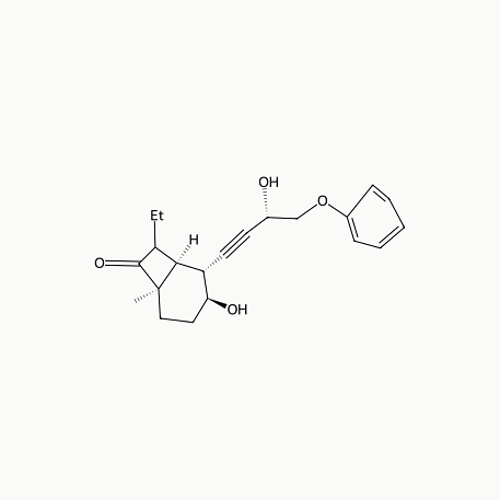 CCC1C(=O)[C@]2(C)CC[C@H](O)[C@@H](C#C[C@H](O)COc3ccccc3)[C@H]12